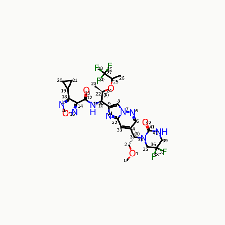 COC[C@H](c1cnn2cc([C@@H](NC(=O)c3nonc3C3CC3)[C@@H](C)OC(C)C(F)(F)F)nc2c1)N1CC(F)(F)CNC1=O